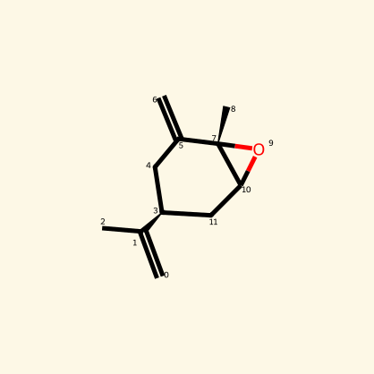 C=C(C)[C@H]1CC(=C)[C@]2(C)OC2C1